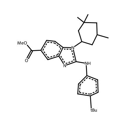 COC(=O)c1ccc2c(c1)nc(Nc1ccc(C(C)(C)C)cc1)n2C1CC(C)CC(C)(C)C1